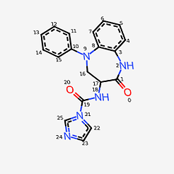 O=C1Nc2ccccc2N(c2ccccc2)CC1NC(=O)n1ccnc1